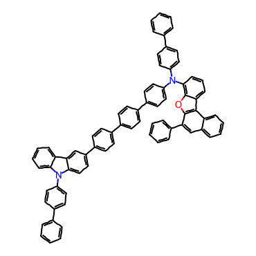 c1ccc(-c2ccc(N(c3ccc(-c4ccc(-c5ccc(-c6ccc7c(c6)c6ccccc6n7-c6ccc(-c7ccccc7)cc6)cc5)cc4)cc3)c3cccc4c3oc3c(-c5ccccc5)cc5ccccc5c34)cc2)cc1